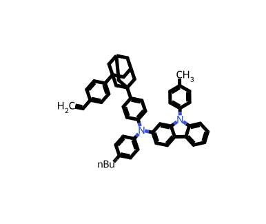 C=Cc1ccc(C23CC4CC(C2)CC(c2ccc(N(c5ccc(CCCC)cc5)c5ccc6c7ccccc7n(-c7ccc(C)cc7)c6c5)cc2)(C4)C3)cc1